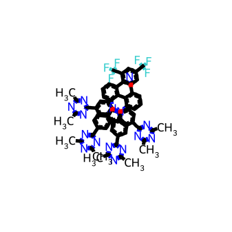 Cc1nc(C)nc(-c2ccc3c(c2)c2cc(-c4nc(C)nc(C)n4)ccc2n3-c2cccc(C#N)c2-c2c(-c3ccc(C(F)(F)F)cc3C(F)(F)F)cccc2-n2c3ccc(-c4nc(C)nc(C)n4)cc3c3cc(-c4nc(C)nc(C)n4)ccc32)n1